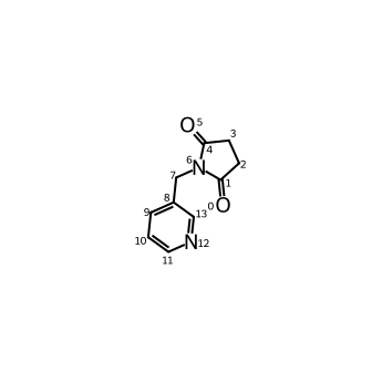 O=C1CCC(=O)N1Cc1cccnc1